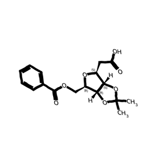 CC1(C)O[C@@H]2[C@H](O1)[C@@H](COC(=O)c1ccccc1)O[C@H]2CC(=O)O